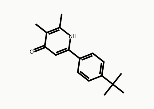 Cc1[nH]c(-c2ccc(C(C)(C)C)cc2)cc(=O)c1C